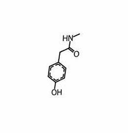 CNC(=O)Cc1ccc(O)cc1